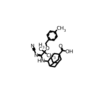 Cc1ccc(COC(C)(C)/C(=N\C#N)NC2C3CC4CC2CC(C(=O)O)(C4)C3)cc1